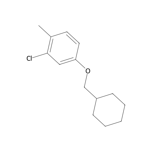 Cc1ccc(OCC2CCCCC2)cc1Cl